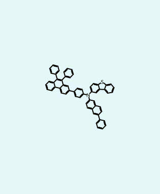 c1ccc(-c2ccc3cc(N(c4ccc(-c5ccc6c(c5)c(-c5ccccc5)c(-c5ccccc5)c5ccccc56)cc4)c4ccc5sc6ccccc6c5c4)ccc3c2)cc1